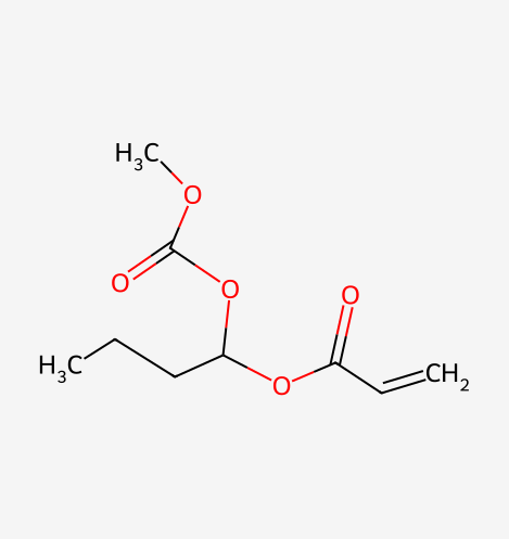 C=CC(=O)OC(CCC)OC(=O)OC